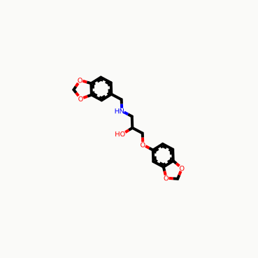 OC(CNCc1ccc2c(c1)OCO2)COc1ccc2c(c1)OCO2